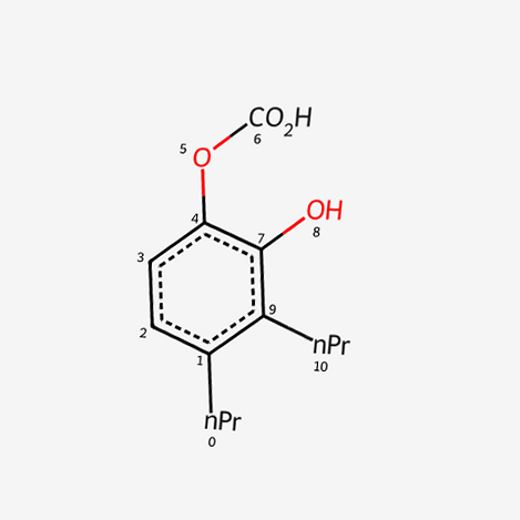 CCCc1ccc(OC(=O)O)c(O)c1CCC